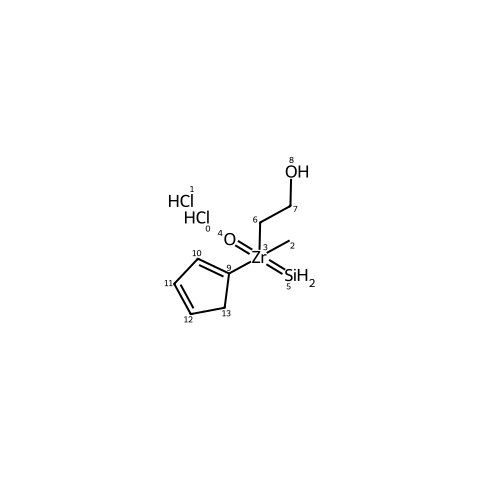 Cl.Cl.[CH3][Zr](=[O])(=[SiH2])([CH2]CO)[C]1=CC=CC1